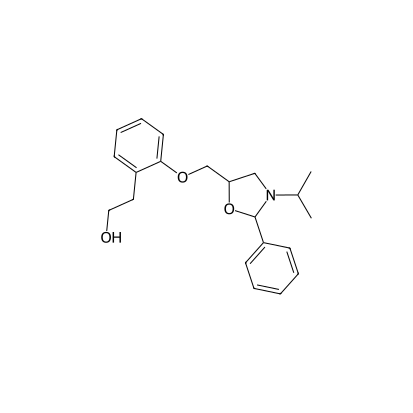 CC(C)N1CC(COc2ccccc2CCO)OC1c1ccccc1